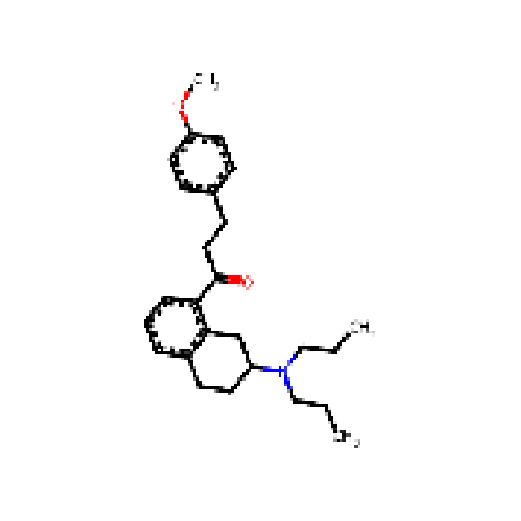 CCCN(CCC)C1CCc2cccc(C(=O)CCc3ccc(OC)cc3)c2C1